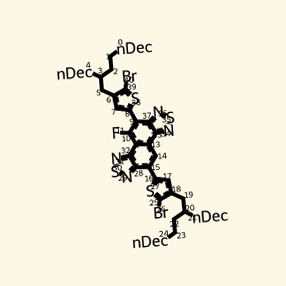 CCCCCCCCCCCCC(CCCCCCCCCC)Cc1cc(-c2c(F)c3c(cc(-c4cc(CC(CCCCCCCCCC)CCCCCCCCCCCC)c(Br)s4)c4nsnc43)c3nsnc23)sc1Br